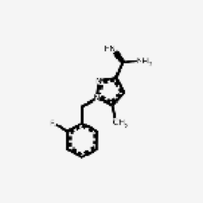 Cc1cc(C(=N)N)nn1Cc1ccccc1F